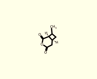 CC1C[C@H]2CC(=O)OC(=O)[C@@H]12